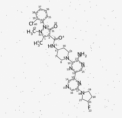 Cc1c(C(=O)NC2CCN(c3nc(-c4cncc(N5CCC(F)C5)n4)cnc3N)CC2)c(=O)n(-c2ccccc2Cl)n1C